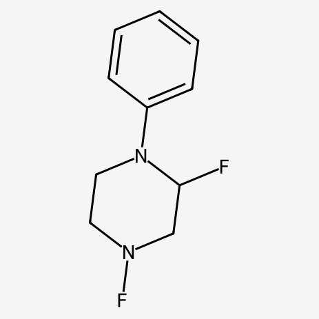 FC1CN(F)CCN1c1ccccc1